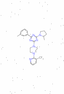 Cc1cccc(-c2nc(N3CCN(c4ncccc4C(F)(F)F)CC3)nc(N3CCCC3C)n2)c1